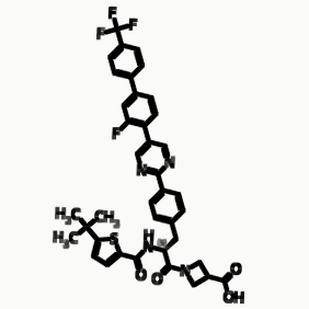 CC(C)(C)c1ccc(C(=O)N[C@@H](Cc2ccc(-c3ncc(-c4ccc(-c5ccc(C(F)(F)F)cc5)cc4F)cn3)cc2)C(=O)N2CC(C(=O)O)C2)s1